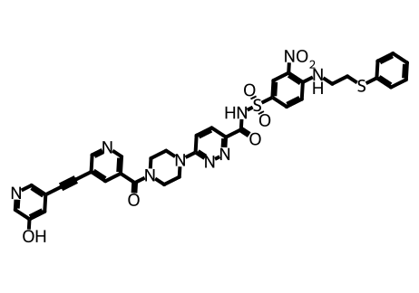 O=C(NS(=O)(=O)c1ccc(NCCSc2ccccc2)c([N+](=O)[O-])c1)c1ccc(N2CCN(C(=O)c3cncc(C#Cc4cncc(O)c4)c3)CC2)nn1